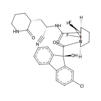 N#C[C@H](C[C@H]1CCCNC1=O)NC(=O)[C@@H]1[C@H]2CC[C@H](CC2(F)F)N1C(=O)[C@@]1(O)c2ccccc2-c2ccc(Cl)cc21